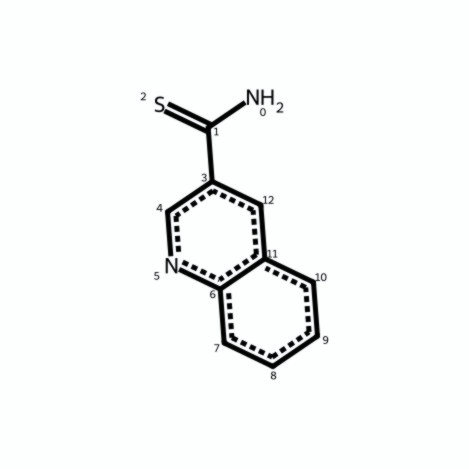 NC(=S)c1cnc2ccccc2c1